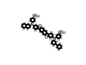 CC(C)(C)c1ccc(N(c2ccc3ccccc3c2)c2ccc3c(c2)oc2cc4cc5c(cc4cc23)oc2cc(N(c3cccc(-c4ccccc4)c3)c3cccc(C(C)(C)C)c3)ccc25)cc1